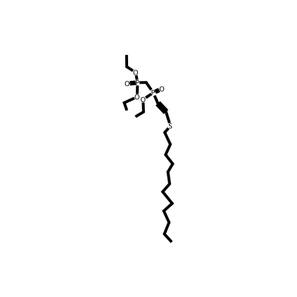 CCCCCCCCCCCCSC#CP(=O)(CP(=O)(OCC)OCC)OCC